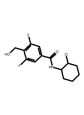 O=C(NC1CCCCC1Cl)c1cc(F)c(CO)c(F)c1